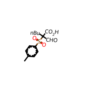 CCCCC(C=O)(C(=O)O)S(=O)(=O)c1ccc(C)cc1